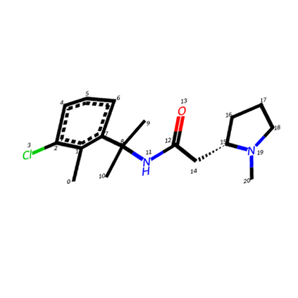 Cc1c(Cl)cccc1C(C)(C)NC(=O)C[C@@H]1CCCN1C